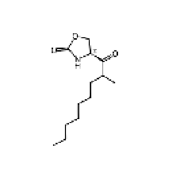 CCCCCCCC(C)C(=O)[C@@H]1COC(=O)N1